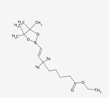 [2H]C([2H])(/C=C/B1OC(C)(C)C(C)(C)O1)CCCCC(=O)OCC